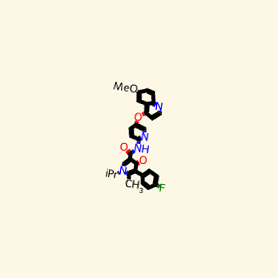 COc1ccc2nccc(Oc3ccc(NC(=O)c4cn(C(C)C)c(C)c(-c5ccc(F)cc5)c4=O)nc3)c2c1